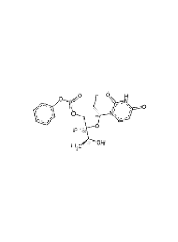 C[C@H](O)[C@@](F)(CO[PH](=O)Oc1ccccc1)O[C@H](CF)n1ccc(=O)[nH]c1=O